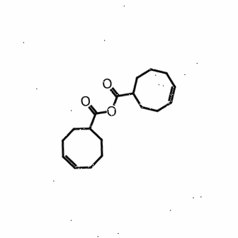 O=C(OC(=O)C1CC/C=C\CCC1)C1CC/C=C\CCC1